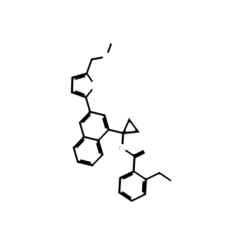 CCc1ccccc1C(=O)NC1(c2cc(-c3ccc(COC)s3)cc3ccccc23)CC1